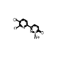 CCCn1nc(-c2ccc(Cl)c(Cl)n2)ccc1=O